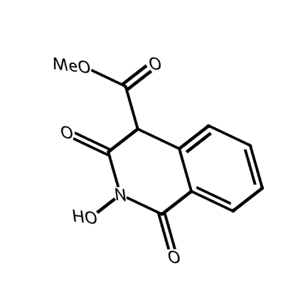 COC(=O)C1C(=O)N(O)C(=O)c2ccccc21